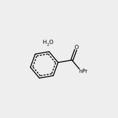 CCCC(=O)c1ccccc1.O